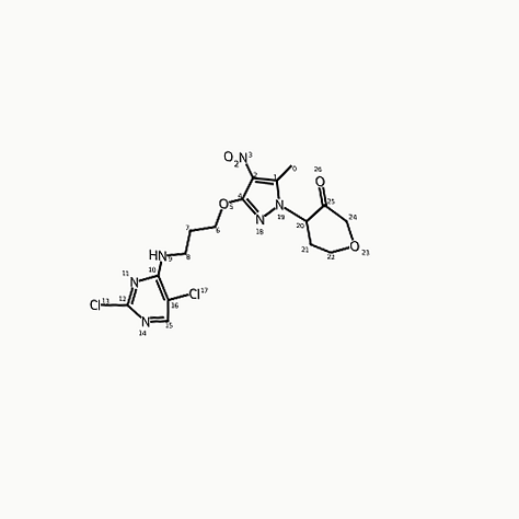 Cc1c([N+](=O)[O-])c(OCCCNc2nc(Cl)ncc2Cl)nn1C1CCOCC1=O